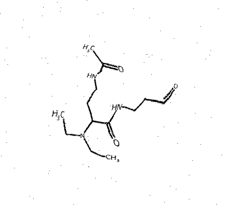 CCN(CC)C(CCNC(C)=O)C(=O)NCCC=O